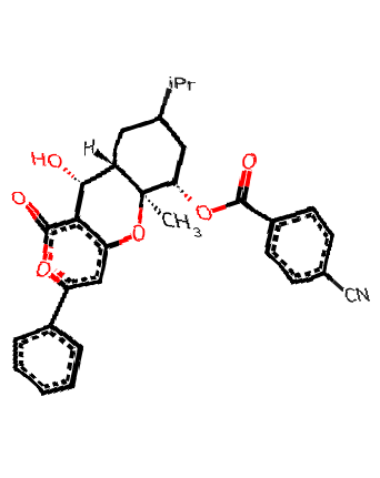 CC(C)C1C[C@H](OC(=O)c2ccc(C#N)cc2)[C@@]2(C)Oc3cc(-c4ccccc4)oc(=O)c3[C@H](O)[C@@H]2C1